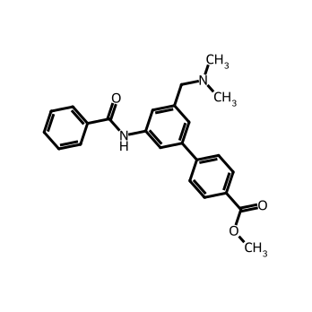 COC(=O)c1ccc(-c2cc(CN(C)C)cc(NC(=O)c3ccccc3)c2)cc1